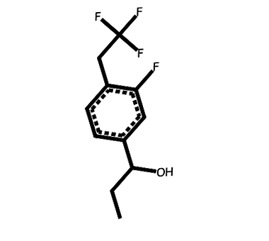 CCC(O)c1ccc(CC(F)(F)F)c(F)c1